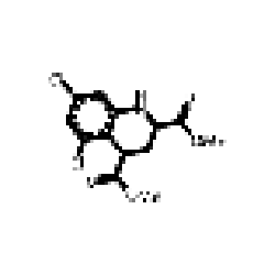 COC(=O)C1CC(C(=O)OC)c2c(Cl)cc(Cl)cc2N1